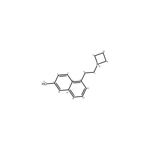 Oc1ccc2c(CCN3CCC3)cccc2c1